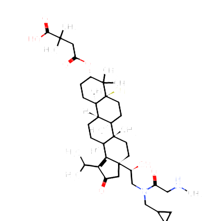 CNCC(=O)N(CC1CC1)C[C@H](O)[C@@]12CC[C@]3(C)[C@H](CC[C@@H]4[C@@]5(C)CC[C@H](OC(=O)CC(C)(C)C(=O)O)C(C)(C)[C@]5(S)CC[C@]43C)C1=C(C(C)C)C(=O)C2